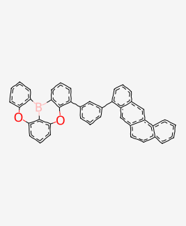 c1cc(-c2cccc3c2Oc2cccc4c2B3c2ccccc2O4)cc(-c2cccc3cc4c(ccc5ccccc54)cc23)c1